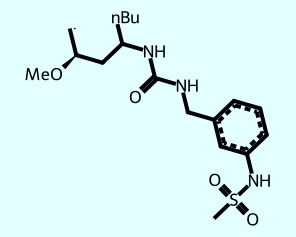 [CH2][C@@H](CC(CCCC)NC(=O)NCc1cccc(NS(C)(=O)=O)c1)OC